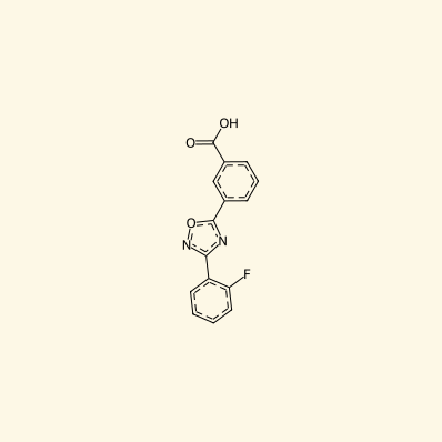 O=C(O)c1cccc(-c2nc(-c3ccccc3F)no2)c1